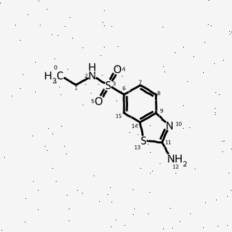 CCNS(=O)(=O)c1ccc2nc(N)sc2c1